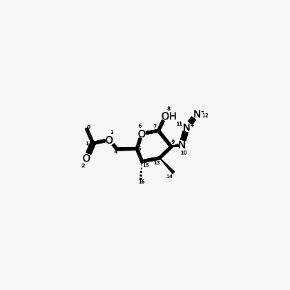 CC(=O)OCC1OC(O)[C@@H](N=[N+]=[N-])[C@@H](C)[C@@H]1C